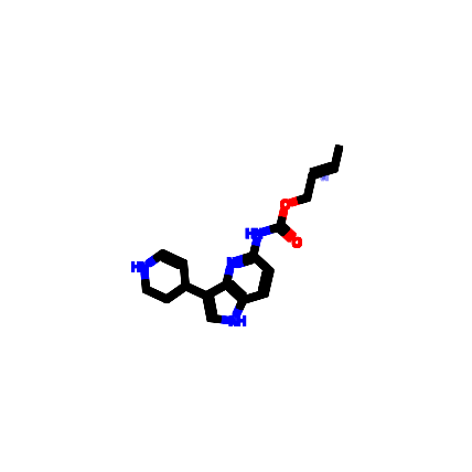 C/C=C/COC(=O)Nc1ccc2[nH]cc(C3C=CNCC3)c2n1